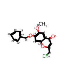 COc1cc2c(=O)cc(CCl)oc2cc1OCc1ccccc1